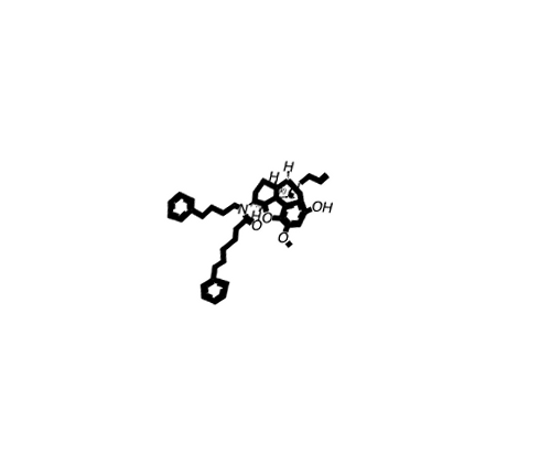 C=CCN1CC[C@]23c4c5c(O)cc(OC)c4O[C@H]2[C@H](N(CCCCc2ccccc2)C(=O)CCCCCc2ccccc2)CC[C@H]3[C@H]1C5